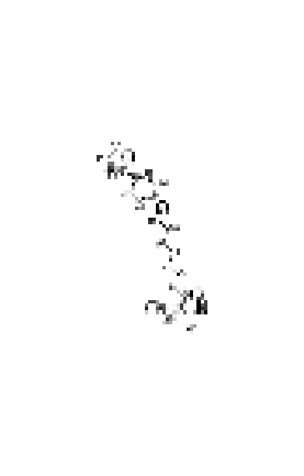 Cc1noc(CCCCCCCOc2ccc(C3=NCCO3)cc2)c1CCl